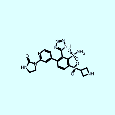 NS(=O)(=O)c1c(S(=O)(=O)C2CNC2)ccc(-c2ccnc(N3CCNC3=O)c2)c1-c1nnn[nH]1